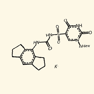 CCCCCCn1cc(S(=O)(=O)NC(=O)Nc2c3c(cc4c2CCC4)CCC3)c(=O)[nH]c1=O.[K]